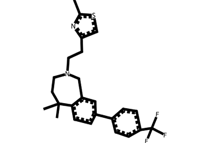 Cc1nc(CCN2CCC(C)(C)c3ccc(-c4ccc(C(F)(F)F)cc4)cc3C2)cs1